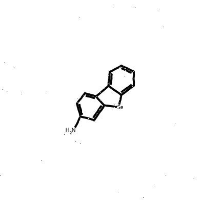 Nc1ccc2c(c1)[se]c1ccccc12